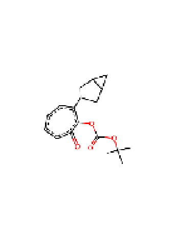 CC(C)(C)OC(=O)Oc1c(C2CC3CC3C2)ccccc1=O